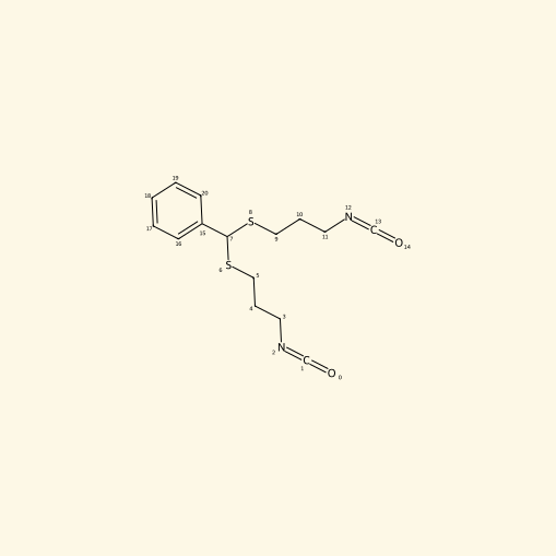 O=C=NCCCSC(SCCCN=C=O)c1ccccc1